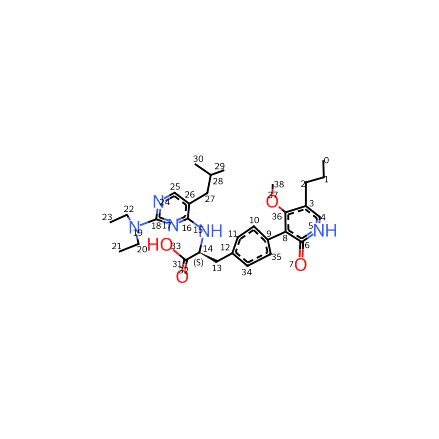 CCCc1c[nH]c(=O)c(-c2ccc(C[C@H](Nc3nc(N(CC)CC)ncc3CC(C)C)C(=O)O)cc2)c1OC